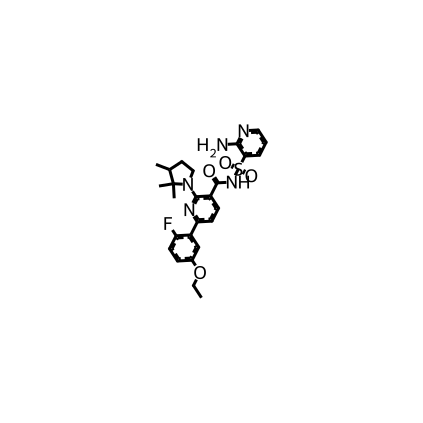 CCOc1ccc(F)c(-c2ccc(C(=O)NS(=O)(=O)c3cccnc3N)c(N3CCC(C)C3(C)C)n2)c1